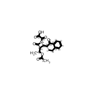 CC(=O)O[C@H](C)[C@H]1C(=O)N(C(=O)C(=O)O)[C@@H]1[C@H]1CCc2ccccc2C1=O